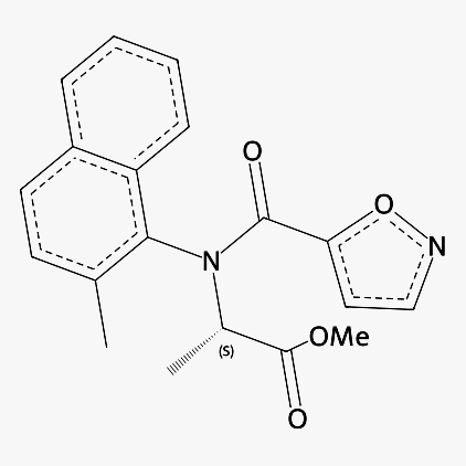 COC(=O)[C@H](C)N(C(=O)c1ccno1)c1c(C)ccc2ccccc12